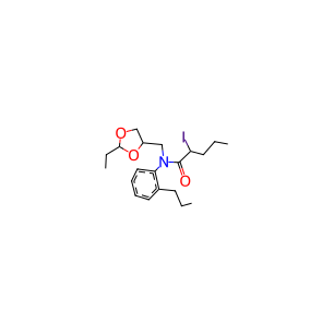 CCCc1ccccc1N(CC1COC(CC)O1)C(=O)C(I)CCC